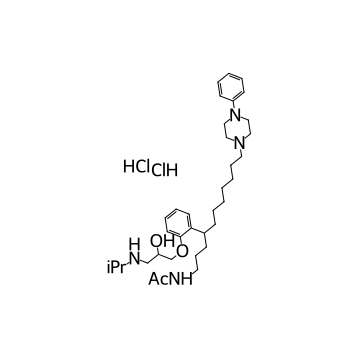 CC(=O)NCCCC(CCCCCCCN1CCN(c2ccccc2)CC1)c1ccccc1OCC(O)CNC(C)C.Cl.Cl